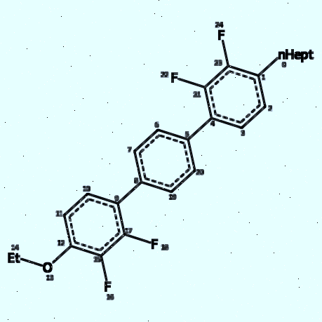 CCCCCCCc1ccc(-c2ccc(-c3ccc(OCC)c(F)c3F)cc2)c(F)c1F